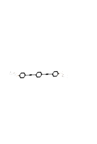 CC(=O)Sc1ccc(C#Cc2ccc(C#Cc3ccc(SC(C)=O)cc3)cc2)cc1